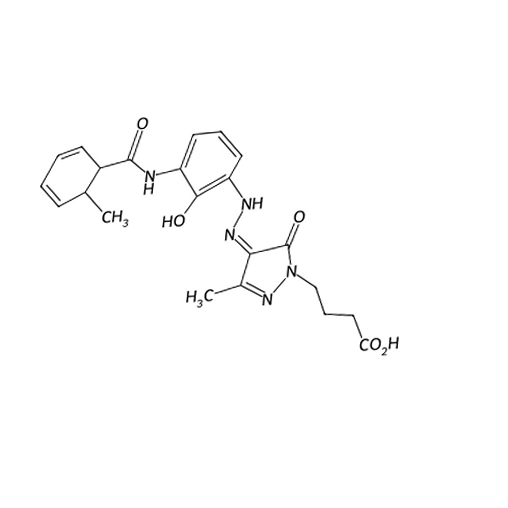 CC1=NN(CCCC(=O)O)C(=O)/C1=N\Nc1cccc(NC(=O)C2C=CC=CC2C)c1O